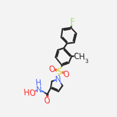 Cc1cc(S(=O)(=O)N2CC=C(C(=O)NO)C2)ccc1-c1ccc(F)cc1